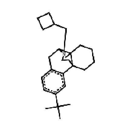 CC(C)(C)c1ccc2c(c1)C13CCCCC1(C)C(C2)N(CC1CCC1)CC3